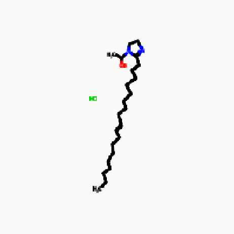 CCCCCCCCC=CCCCCCCCCC1=NCCN1C(C)O.Cl